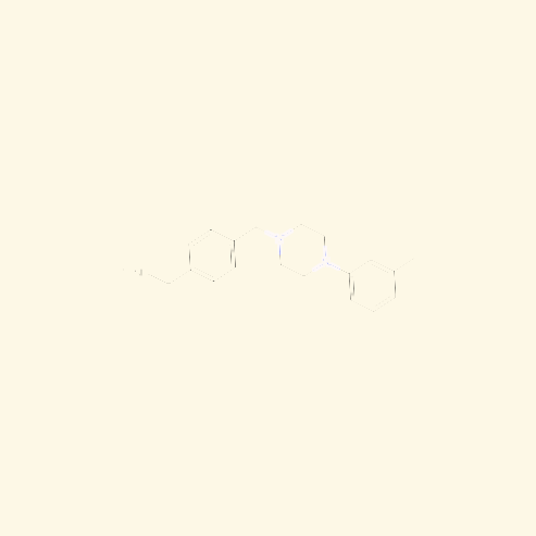 CC(=O)NCc1ccc(CN2CCN(c3cccc(C)c3)CC2)cc1